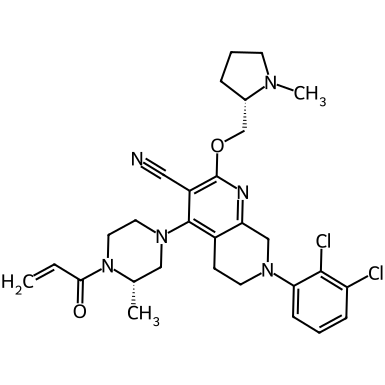 C=CC(=O)N1CCN(c2c(C#N)c(OC[C@@H]3CCCN3C)nc3c2CCN(c2cccc(Cl)c2Cl)C3)C[C@@H]1C